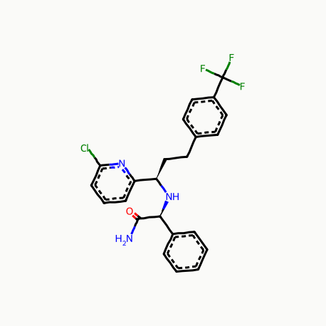 NC(=O)[C@@H](N[C@H](CCc1ccc(C(F)(F)F)cc1)c1cccc(Cl)n1)c1ccccc1